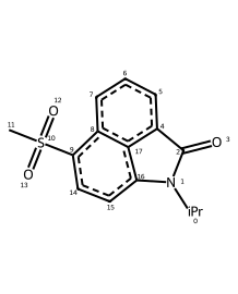 CC(C)N1C(=O)c2cccc3c(S(C)(=O)=O)ccc1c23